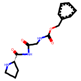 O=C(CNC(=O)OCc1ccccc1)NC(=O)[C@@H]1CCCN1